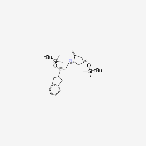 C=C1C[C@H](O[Si](C)(C)C(C)(C)C)C/C1=C\C[C@@H](O[Si](C)(C)C(C)(C)C)C1Cc2ccccc2C1